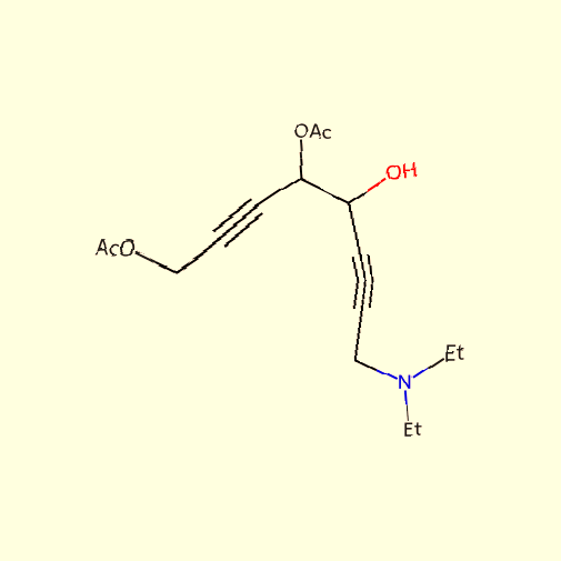 CCN(CC)CC#CC(O)C(C#CCOC(C)=O)OC(C)=O